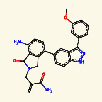 C=C(CN1Cc2c(-c3ccc4[nH]nc(-c5cccc(OC)c5)c4c3)ccc(N)c2C1=O)C(N)=O